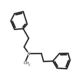 [CH2]N(CCc1ccccc1)CCc1ccccc1